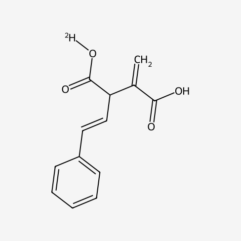 [2H]OC(=O)C(C=Cc1ccccc1)C(=C)C(=O)O